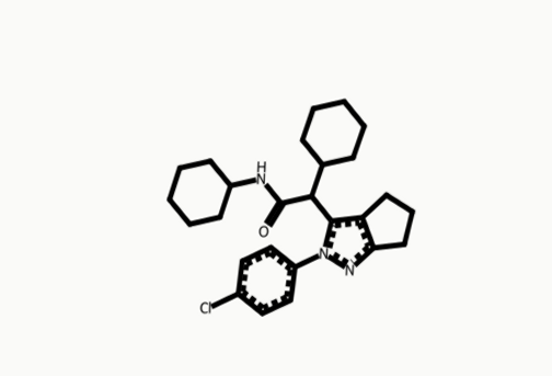 O=C(NC1CCCCC1)C(c1c2c(nn1-c1ccc(Cl)cc1)CCC2)C1CCCCC1